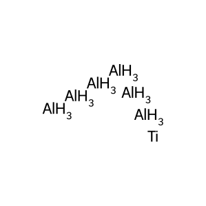 [AlH3].[AlH3].[AlH3].[AlH3].[AlH3].[AlH3].[Ti]